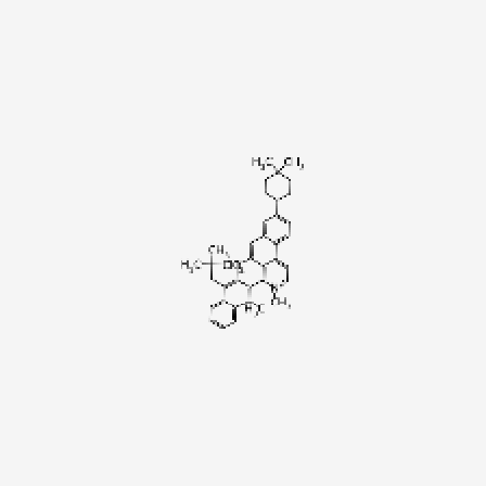 Cc1c2c(c(CC(C)(C)C)c3ccccc13)Oc1cc3cc(C4CCC(C)(C)CC4)ccc3c3cc[n+](C)c-2c13